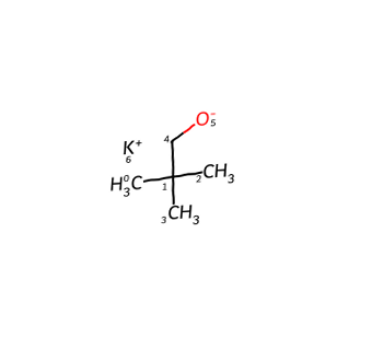 CC(C)(C)C[O-].[K+]